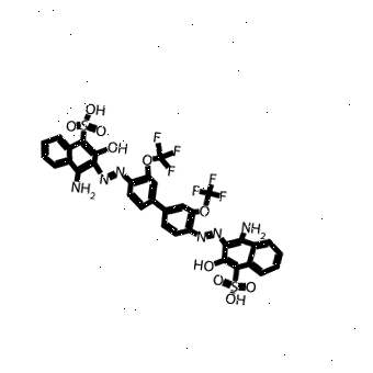 Nc1c(/N=N/c2ccc(-c3ccc(/N=N/c4c(O)c(S(=O)(=O)O)c5ccccc5c4N)c(OC(F)(F)F)c3)cc2OC(F)(F)F)c(O)c(S(=O)(=O)O)c2ccccc12